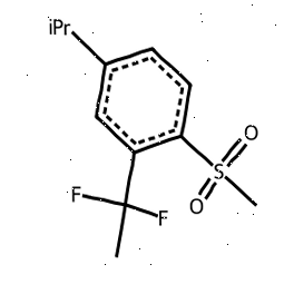 CC(C)c1ccc(S(C)(=O)=O)c(C(C)(F)F)c1